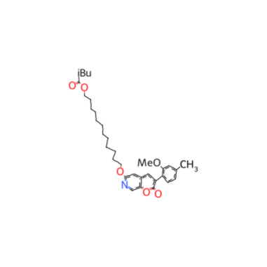 CCC(C)C(=O)OCCCCCCCCCCCCOc1cc2cc(-c3ccc(C)cc3OC)c(=O)oc2cn1